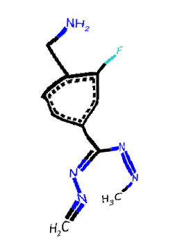 C=N/N=C(\N=N/C)c1ccc(CN)c(F)c1